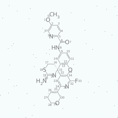 COc1ccc(C(=O)Nc2ccc3c(c2)[C@@]2(CCSC(N)=N2)c2cc(C4=CCCOC4)nc(F)c2O3)nc1